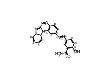 NC(=O)c1cc(/N=N/c2ccc3c(c2)N2C(=CC4C=CC=CC42)N=N3)ccc1O